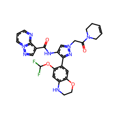 O=C(Nc1cn(CC(=O)N2CC=CCC2)nc1-c1cc2c(cc1OC(F)F)NCCO2)c1cnn2cccnc12